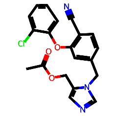 CC(=O)OCc1cncn1Cc1ccc(C#N)c(Oc2ccccc2Cl)c1